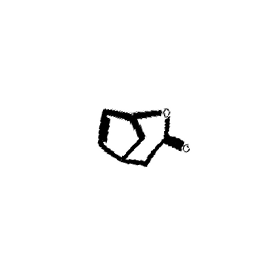 O=C1CC2C=CC(C2)O1